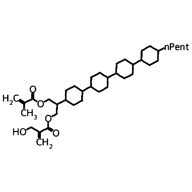 C=C(C)C(=O)OCC(COC(=O)C(=C)CO)C1CCC(C2CCC(C3CCC(C4CCC(CCCCC)CC4)CC3)CC2)CC1